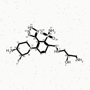 NC[C@@H](O)CNSc1ccc(N2CC[C@H](N)[C@H](F)C2)c(-c2nn[nH]n2)c1S(N)(=O)=O